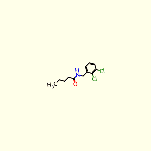 CCCCC(=O)NCc1cccc(Cl)c1Cl